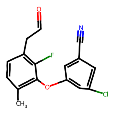 Cc1ccc(CC=O)c(F)c1Oc1cc(Cl)cc(C#N)c1